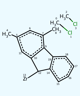 CCl.CCl.Cc1cc(C)c2c(c1)[CH]([Zr])c1ccccc1-2